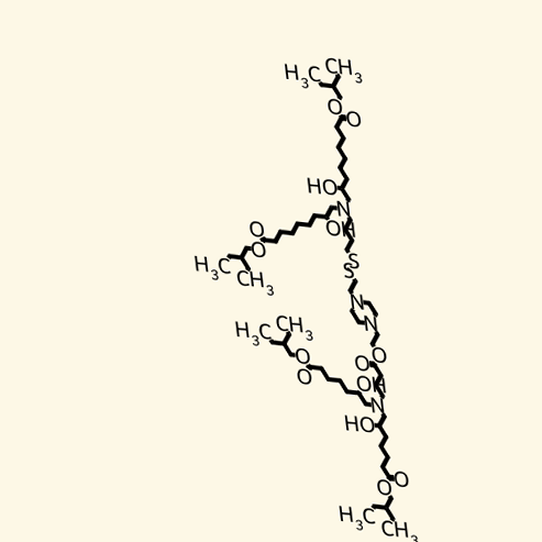 CCC(CC)COC(=O)CCCCCCC(O)CN(CCCCSSCCN1CCN(CCOC(=O)CCCN(CC(O)CCCCC(=O)OCC(CC)CC)CC(O)CCCCC(=O)OCC(CC)CC)CC1)CC(O)CCCCCCC(=O)OCC(CC)CC